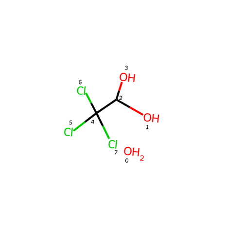 O.OC(O)C(Cl)(Cl)Cl